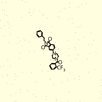 O=C(c1ccccc1C(F)(F)F)N1CCN(c2ccc3c(c2)C(=O)N(CCc2ccccc2)C3=O)CC1